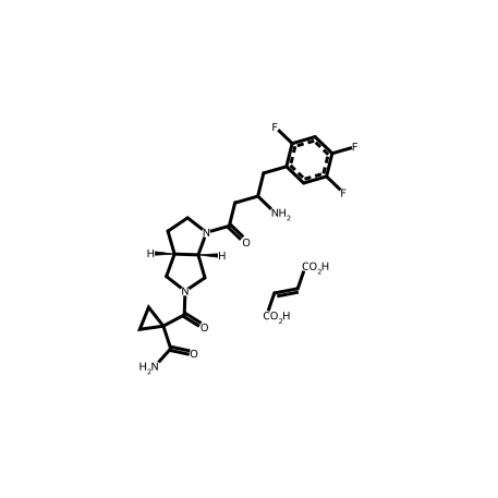 NC(=O)C1(C(=O)N2C[C@@H]3CCN(C(=O)CC(N)Cc4cc(F)c(F)cc4F)[C@@H]3C2)CC1.O=C(O)C=CC(=O)O